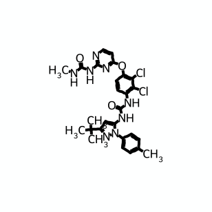 CNC(=O)Nc1nccc(Oc2ccc(NC(=O)Nc3cc(C(C)(C)C)nn3-c3ccc(C)cc3)c(Cl)c2Cl)n1